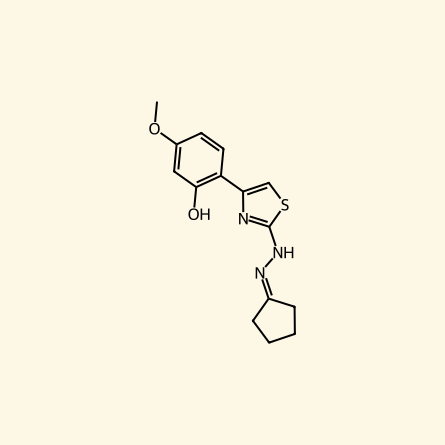 COc1ccc(-c2csc(NN=C3CCCC3)n2)c(O)c1